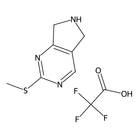 CSc1ncc2c(n1)CNC2.O=C(O)C(F)(F)F